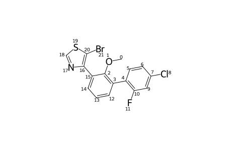 COc1c(-c2ccc(Cl)cc2F)cccc1-c1ncsc1Br